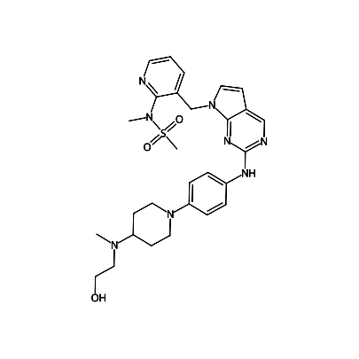 CN(CCO)C1CCN(c2ccc(Nc3ncc4ccn(Cc5cccnc5N(C)S(C)(=O)=O)c4n3)cc2)CC1